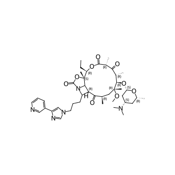 CC[C@H]1OC(=O)[C@H](C)C(=O)[C@H](C)[C@@H](O[C@H]2C[C@@H](N(C)C)C[C@@H](C)O2)[C@](C)(OC)C[C@@H](C)C(=O)[C@@H]2C(CCCn3cnc(-c4cccnc4)c3)N3C(=O)O[C@@]1(C)C23